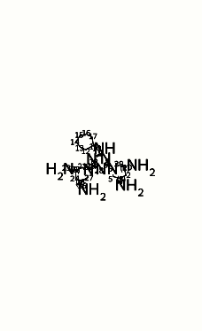 N[C@@H]1C[C@H](N)CN(c2nc(NC3CCCCCC3)nc(N3C[C@H](N)C[C@H](N)C3)n2)C1